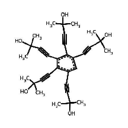 CC(C)(O)C#Cc1cc(C#CC(C)(C)O)c(C#CC(C)(C)O)c(C#CC(C)(C)O)c1C#CC(C)(C)O